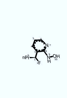 CCC[C@H](F)c1cccnc1NO